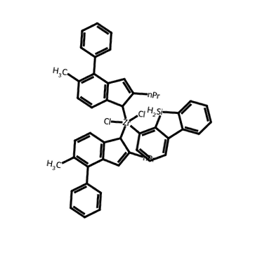 CCCC1=Cc2c(ccc(C)c2-c2ccccc2)[CH]1[Zr]([Cl])([Cl])([c]1cccc2c1[SiH2]c1ccccc1-2)[CH]1C(CCC)=Cc2c1ccc(C)c2-c1ccccc1